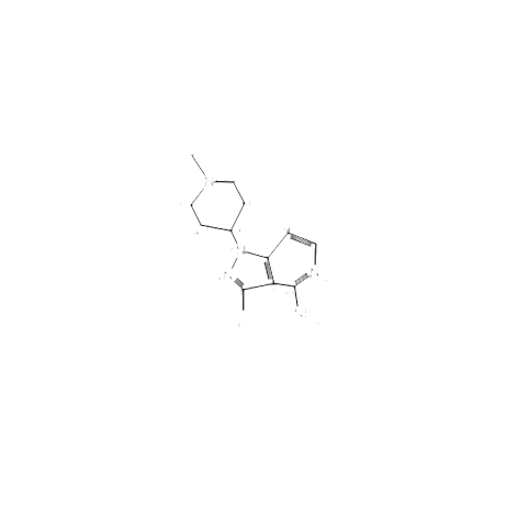 CN1CCC(n2nc(I)c3c(N)nccc32)CC1